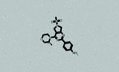 C[C@H]1COCCN1c1nc(-c2ccc(N)cc2)nc2c1CN(S(C)(=O)=O)C2